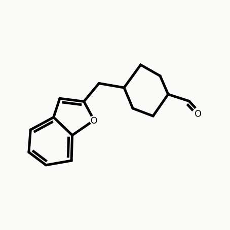 O=CC1CCC(Cc2cc3ccccc3o2)CC1